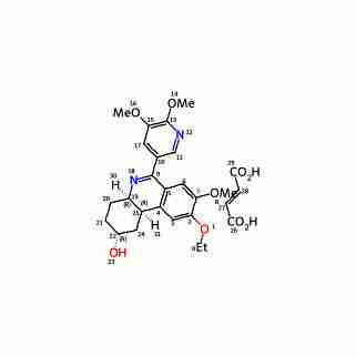 CCOc1cc2c(cc1OC)C(c1cnc(OC)c(OC)c1)=N[C@@H]1CC[C@@H](O)C[C@H]21.O=C(O)C=CC(=O)O